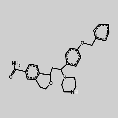 NC(=O)c1ccc2c(c1)CCOC2CC(c1ccc(OCc2ccccc2)cc1)N1CCNCC1